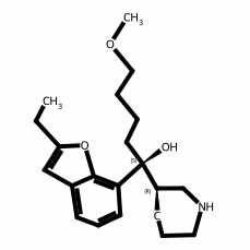 CCc1cc2cccc([C@](O)(CCCCOC)[C@@H]3CCCNC3)c2o1